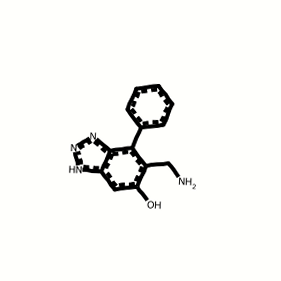 NCc1c(O)cc2[nH]nnc2c1-c1ccccc1